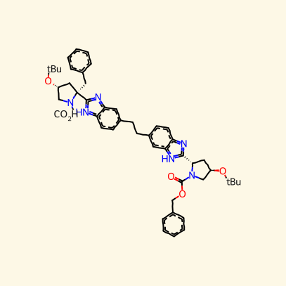 CC(C)(C)O[C@@H]1C[C@@H](c2nc3ccc(CCc4ccc5[nH]c([C@]6(Cc7ccccc7)C[C@@H](OC(C)(C)C)CN6C(=O)O)nc5c4)cc3[nH]2)N(C(=O)OCc2ccccc2)C1